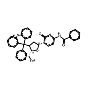 Nc1ccccc1C(c1ccccc1)(c1ccccc1)C1C[C@H](n2ccc(NC(=O)c3ccccc3)nc2=O)O[C@@H]1CO